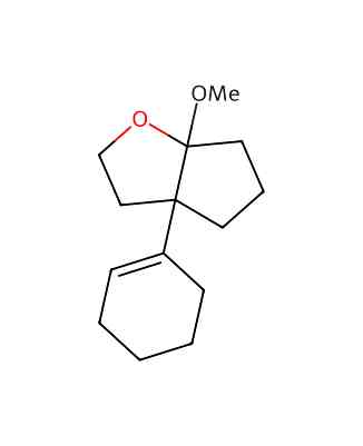 COC12CCCC1(C1=CCCCC1)CCO2